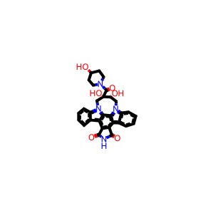 O=C1NC(=O)c2c1c1c3ccccc3n3c1c1c2c2ccccc2n1CC(O)(C(=O)N1CCC(O)CC1)C(O)C3